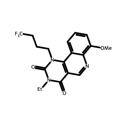 CCn1c(=O)c2cnc3c(OC)cccc3c2n(CCCC(F)(F)F)c1=O